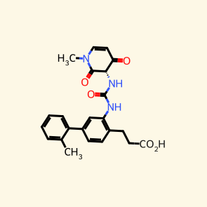 Cc1ccccc1-c1ccc(CCC(=O)O)c(NC(=O)N[C@H]2C(=O)C=CN(C)C2=O)c1